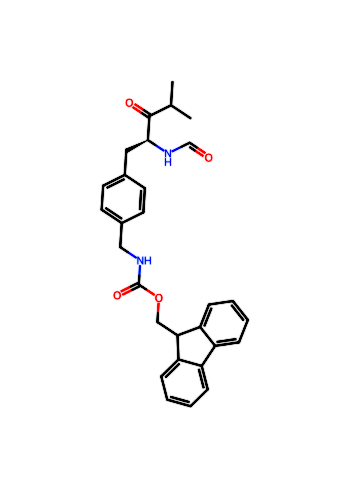 CC(C)C(=O)[C@H](Cc1ccc(CNC(=O)OCC2c3ccccc3-c3ccccc32)cc1)NC=O